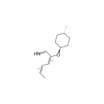 C/C=C\C=C(/C=N)O[C@H]1CC[C@H](C)CC1